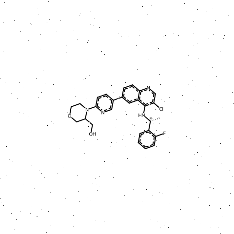 C[C@@H](Nc1c(Cl)cnc2ccc(-c3ccc(N4CCOCC4CO)nc3)cc12)c1ccccc1F